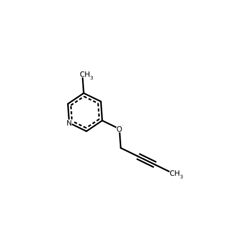 CC#CCOc1cncc(C)c1